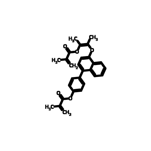 C=C(C)C(=O)OC(C)=C(C)Oc1ccc(-c2ccc(OC(=O)C(=C)C)cc2)c2ccccc12